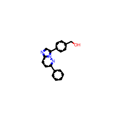 OCc1ccc(-c2cnc3ccc(-c4ccccc4)nn23)cc1